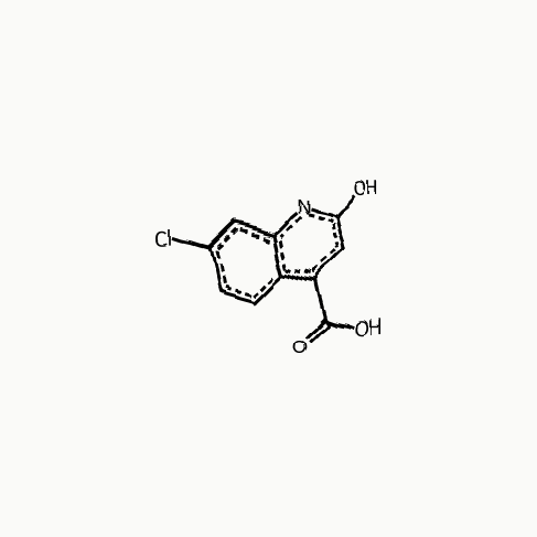 O=C(O)c1cc(O)nc2cc(Cl)ccc12